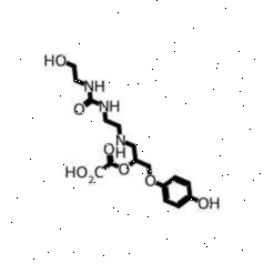 O=C(NCCO)NCCNCC(COc1ccc(O)cc1)OC(=O)C(=O)O